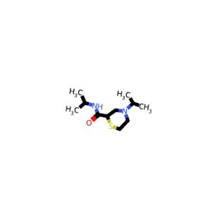 CC(C)NC(=O)C1CN(C(C)C)CCS1